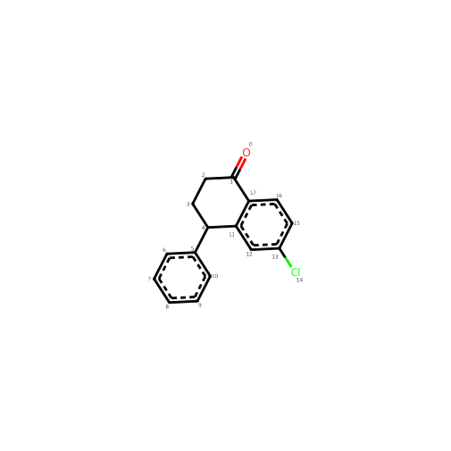 O=C1CCC(c2ccccc2)c2cc(Cl)ccc21